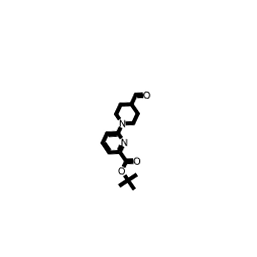 CC(C)(C)OC(=O)c1cccc(N2CCC(C=O)CC2)n1